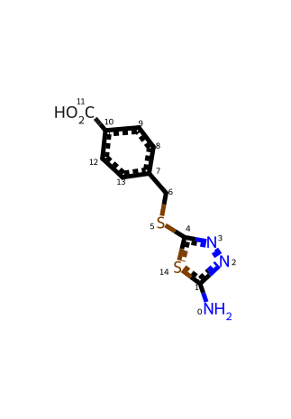 Nc1nnc(SCc2ccc(C(=O)O)cc2)s1